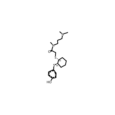 CN(C)CCCN(C)C(=O)CS[C@@H]1CCCC[C@H]1Sc1ccc(O)cc1